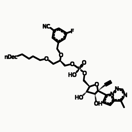 C#C[C@@]1(c2ccc3c(C)ncnn23)O[C@H](COP(=O)(O)OC[C@@H](COCCCCCCCCCCCCCC)OCc2cc(F)cc(C#N)c2)[C@@H](O)[C@H]1O